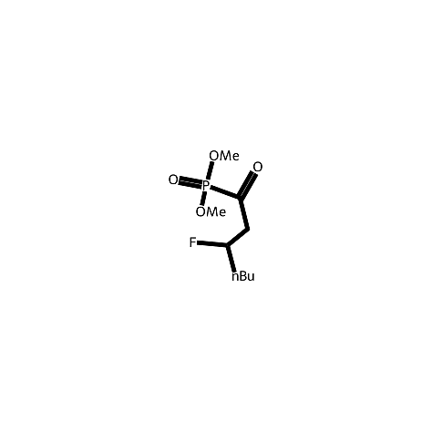 CCCCC(F)CC(=O)P(=O)(OC)OC